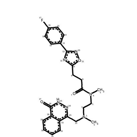 CN(CCN(C)C(=O)CCc1nc(-c2ccc(F)cc2)no1)Cc1n[nH]c(=O)c2ccccc12